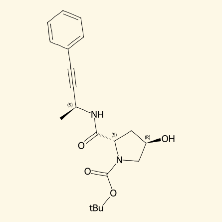 C[C@@H](C#Cc1ccccc1)NC(=O)[C@@H]1C[C@@H](O)CN1C(=O)OC(C)(C)C